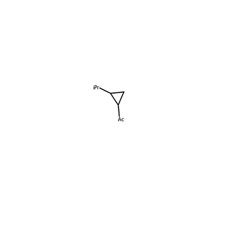 CC(=O)C1CC1C(C)C